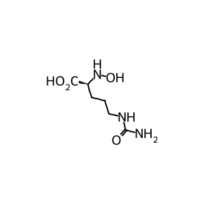 NC(=O)NCCC[C@H](NO)C(=O)O